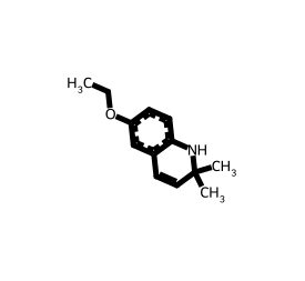 CCOc1ccc2c(c1)C=CC(C)(C)N2